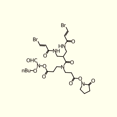 CCCCON(C=O)OC(=O)CCN(CCC(=O)ON1CCCC1=O)C(=O)C(CNC(=O)/C=C/Br)CNC(=O)/C=C/Br